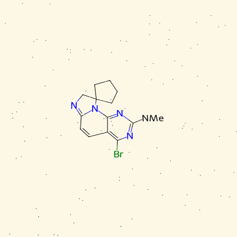 CNc1nc(Br)c2c(n1)N1C(=NCC13CCCC3)C=C2